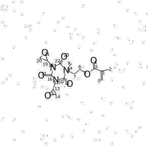 C=C(C)C(=O)OCC[N+]1(C)C(=O)N(C2CO2)C(=O)N(C2CO2)C1=O